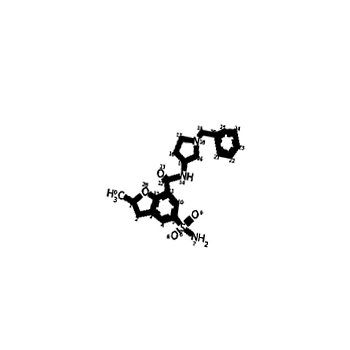 CC1Cc2cc(S(N)(=O)=O)cc(C(=O)NC3CCN(Cc4ccccc4)C3)c2O1